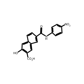 O=C(Nc1ccc([N+](=O)[O-])cc1)c1ccc2cc(O)c(C(=O)O)cc2c1